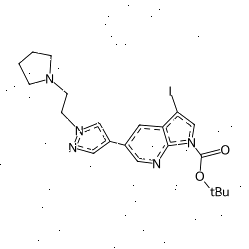 CC(C)(C)OC(=O)n1cc(I)c2cc(-c3cnn(CCN4CCCC4)c3)cnc21